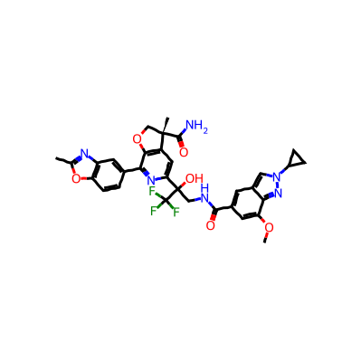 COc1cc(C(=O)NCC(O)(c2cc3c(c(-c4ccc5oc(C)nc5c4)n2)OC[C@]3(C)C(N)=O)C(F)(F)F)cc2cn(C3CC3)nc12